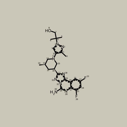 Cc1nn(C(C)(C)CO)cc1N1C[C@H](C)C[C@H](c2nc3c4cc(F)cc(F)c4nc(N)n3n2)C1